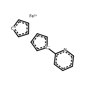 [Fe+2].c1cc[cH-]c1.c1ccc(-[c-]2cccc2)nc1